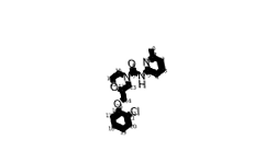 Cc1cccc(NC(=O)N2CCOC(COc3ccccc3Cl)C2)n1